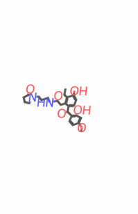 CCc1c(O)cc(O)c(C(=O)c2ccc(OC)cc2)c1CC(=O)NCCCN1CCCC1=O